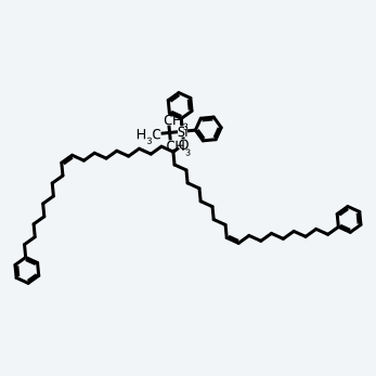 CC(C)(C)[Si](OC(CCCCCCCC/C=C\CCCCCCCCc1ccccc1)CCCCCCCC/C=C\CCCCCCCCc1ccccc1)(c1ccccc1)c1ccccc1